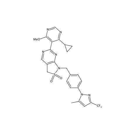 COc1ncnc(C2CC2)c1-c1ncc2c(n1)N(Cc1ccc(-n3nc(C(F)(F)F)cc3C)cc1)S(=O)(=O)C2